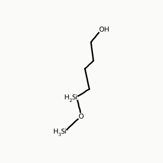 OCCCC[SiH2]O[SiH3]